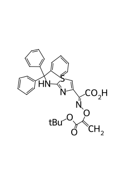 C=C(ON=C(C(=O)O)c1csc(NC(c2ccccc2)(c2ccccc2)c2ccccc2)n1)C(=O)OC(C)(C)C